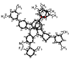 Cc1nc(C)nc(-c2ccc3c(c2)c2cc(-c4nc(C)nc(C)n4)ccc2n3-c2cc(C#N)c(-c3c(C(F)(F)F)cccc3C(F)(F)F)cc2-n2c3ccc(-c4nc(C)nc(C)n4)cc3c3cc(-c4nc(C)nc(C)n4)ccc32)n1